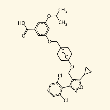 CC(C)Oc1cc(OCC23CCC(OCc4c(-c5c(Cl)cncc5Cl)noc4C4CC4)(CC2)CC3)cc(C(=O)O)c1